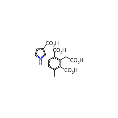 Cc1ccc(C(=O)O)c(CC(=O)O)c1C(=O)O.O=C(O)c1cc[nH]c1